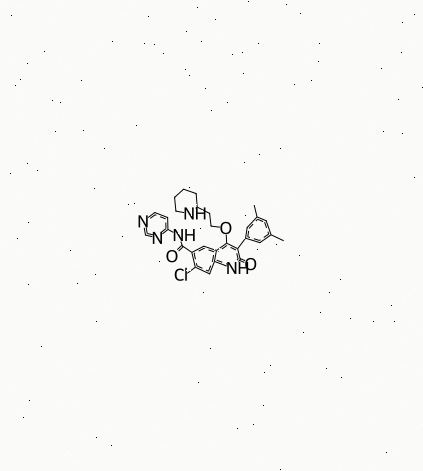 Cc1cc(C)cc(-c2c(OCCC3CCCCN3)c3cc(C(=O)Nc4ccncn4)c(Cl)cc3[nH]c2=O)c1